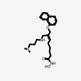 CN(C)CCCNCC(=CCCCCC(=O)NO)COc1cccc2ccccc12